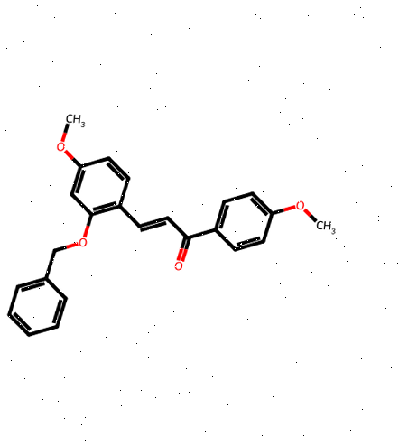 COc1ccc(C(=O)/C=C/c2ccc(OC)cc2OCc2ccccc2)cc1